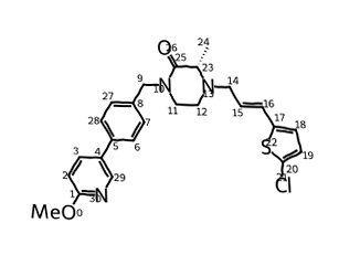 COc1ccc(-c2ccc(CN3CCN(CC=Cc4ccc(Cl)s4)[C@@H](C)C3=O)cc2)cn1